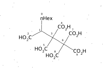 CCCCCCC(C(=O)O)C(C(=O)O)(C(=O)O)C(C(=O)O)(C(=O)O)C(=O)O